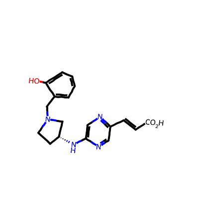 O=C(O)/C=C/c1cnc(N[C@@H]2CCN(Cc3ccccc3O)C2)cn1